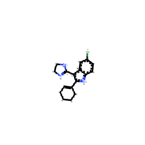 Clc1ccc2[nH]c(C3=CCCCC3)c(C3=NCCN3)c2c1